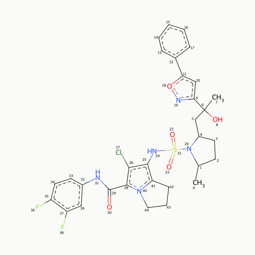 CC1CCC(CC(C)(O)c2cc(-c3ccccc3)on2)N1S(=O)(=O)Nc1c(Cl)c(C(=O)Nc2ccc(F)c(F)c2)n2c1CCC2